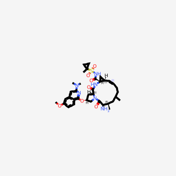 COc1ccc2c(O[C@@H]3C[C@H]4C(=O)N[C@]5(C(=O)NS(=O)(=O)C6(C)CC6)C[C@H]5/C=C\CCC(C)C[C@@H](C)[C@H](N)C(=O)N4C3)nc(N(C)C)cc2c1